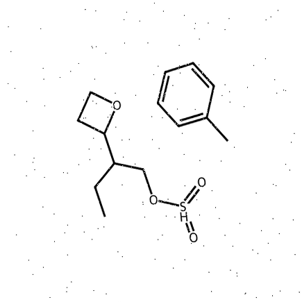 CCC(CO[SH](=O)=O)C1CCO1.Cc1ccccc1